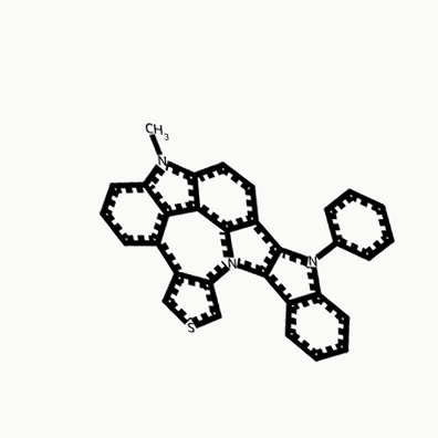 Cn1c2cccc3c4cscc4n4c5c(ccc1c5c32)c1c4c2ccccc2n1-c1ccccc1